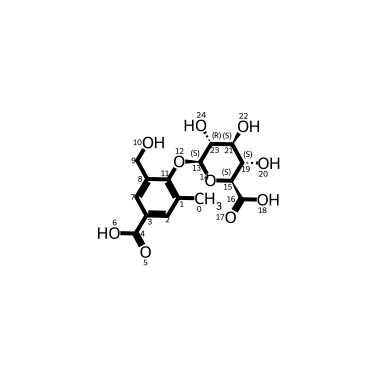 Cc1cc(C(=O)O)cc(CO)c1O[C@@H]1O[C@H](C(=O)O)[C@@H](O)[C@H](O)[C@H]1O